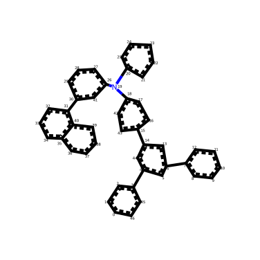 c1ccc(-c2cc(-c3ccccc3)cc(-c3ccc(N(c4ccccc4)c4cccc(-c5cccc6ccccc56)c4)cc3)c2)cc1